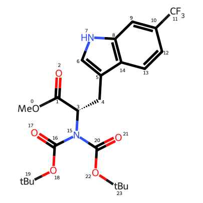 COC(=O)[C@H](Cc1c[nH]c2cc(C(F)(F)F)ccc12)N(C(=O)OC(C)(C)C)C(=O)OC(C)(C)C